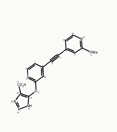 COc1cc(C#Cc2cccc(Oc3[nH]nnc3C(=O)O)c2)ccn1